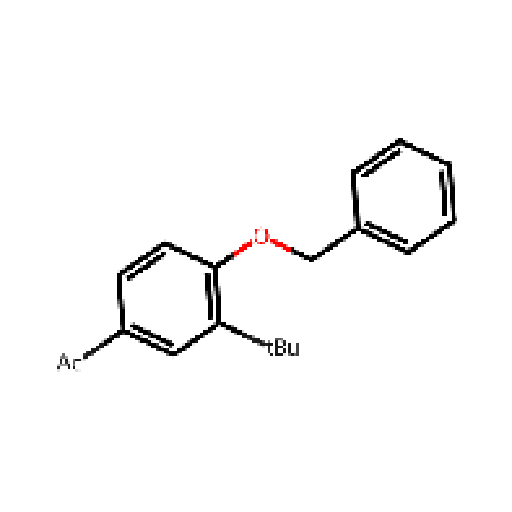 CC(=O)c1ccc(OCc2ccccc2)c(C(C)(C)C)c1